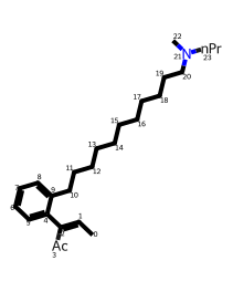 CC=C(C(C)=O)c1ccccc1CCCCCCCCCCCN(C)CCC